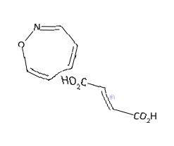 C1=CC=NOC=C1.O=C(O)/C=C/C(=O)O